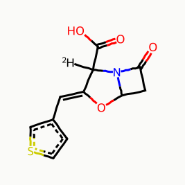 [2H]C1(C(=O)O)C(=Cc2ccsc2)OC2CC(=O)N21